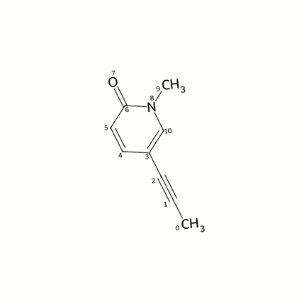 CC#Cc1ccc(=O)n(C)c1